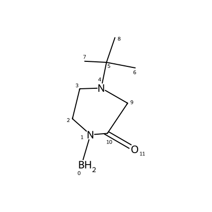 BN1CCN(C(C)(C)C)CC1=O